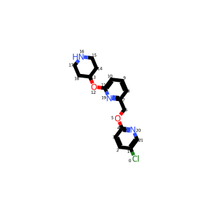 Clc1ccc(OCc2cccc(OC3CCNCC3)n2)nc1